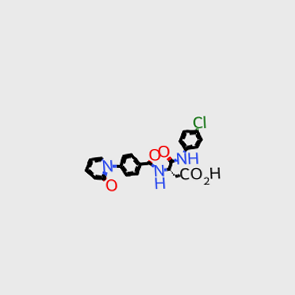 O=C(O)C[C@H](NC(=O)c1ccc(-n2ccccc2=O)cc1)C(=O)Nc1ccc(Cl)cc1